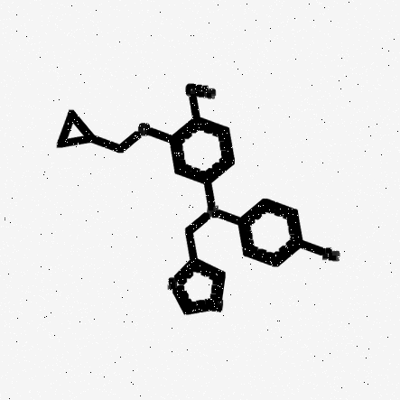 COc1ccc(N(Cc2cncs2)c2ccc(C(C)=O)cc2)cc1OCC1CC1